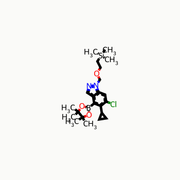 CC1(C)OB(c2c(C3CC3)c(Cl)cc3c2cnn3COCC[Si](C)(C)C)OC1(C)C